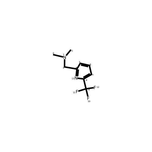 CN(C)Cc1c[c]cc(C(F)(F)F)n1